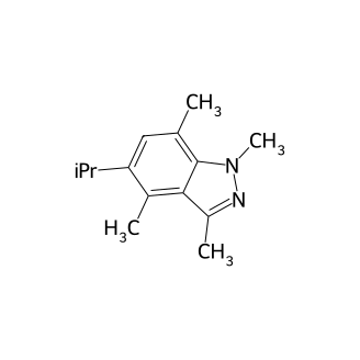 Cc1nn(C)c2c(C)cc(C(C)C)c(C)c12